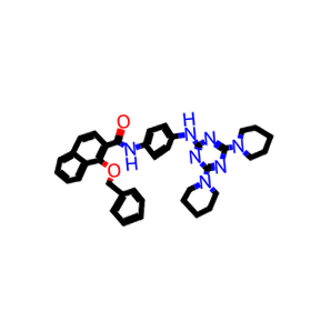 O=C(Nc1ccc(Nc2nc(N3CCCCC3)nc(N3CCCCC3)n2)cc1)c1ccc2ccccc2c1OCc1ccccc1